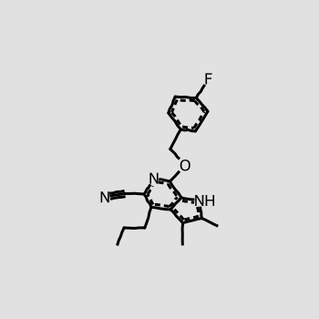 CCCc1c(C#N)nc(OCc2ccc(F)cc2)c2[nH]c(C)c(C)c12